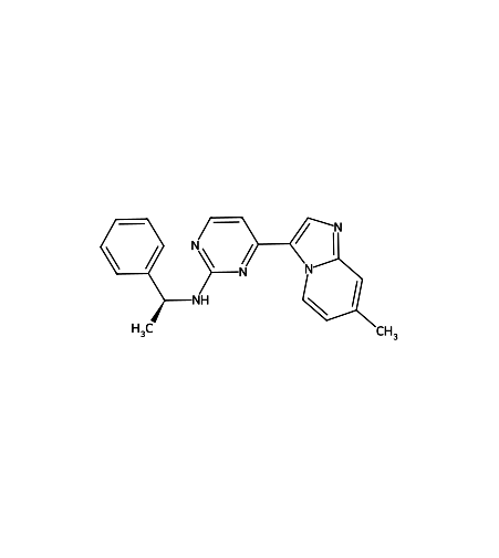 Cc1ccn2c(-c3ccnc(N[C@@H](C)c4ccccc4)n3)cnc2c1